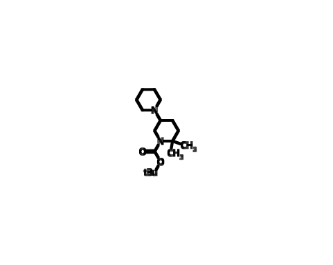 CC(C)(C)OC(=O)N1CC(N2CCCCC2)CCC1(C)C